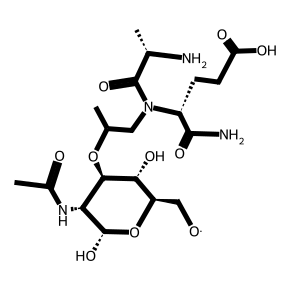 CC(=O)N[C@@H]1[C@@H](OC(C)CN(C(=O)[C@H](C)N)[C@H](CCC(=O)O)C(N)=O)[C@H](O)[C@@H](C[O])O[C@@H]1O